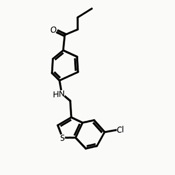 CCCC(=O)c1ccc(NCc2csc3ccc(Cl)cc23)cc1